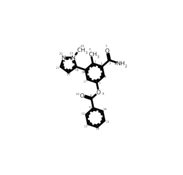 Cc1c(C(N)=O)cc(OC(=O)c2ccccc2)cc1-c1ccnn1C